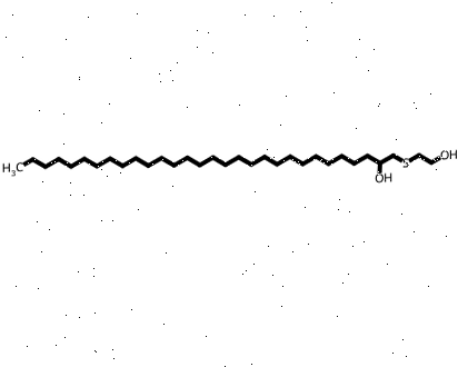 CCCCCCCCCCCCCCCCCCCCCCCCCCCCC(O)CSCCO